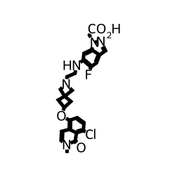 Cn1ccc2c(OC3CC4(C3)CN(CCNc3cc5c(cnn5CC(=O)O)cc3F)C4)ccc(Cl)c2c1=O